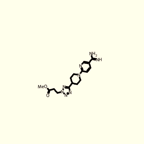 COC(=O)CCn1nnc(C2CCN(c3ccc(C(=N)N)cn3)CC2)n1